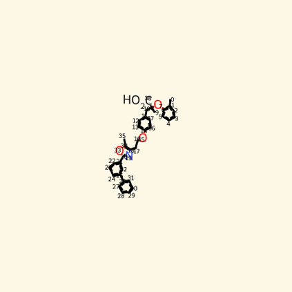 Cc1ccccc1OC(C)(Cc1ccc(OCCc2nc(-c3cccc(-c4ccccc4)c3)oc2C)cc1)C(=O)O